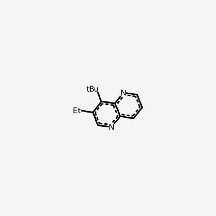 CCc1cnc2cccnc2c1C(C)(C)C